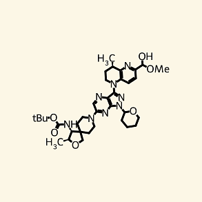 COC(O)c1ccc2c(n1)[C@H](C)CCN2c1nn(C2CCCCO2)c2nc(N3CCC4(CC3)CO[C@@H](C)[C@H]4NC(=O)OC(C)(C)C)cnc12